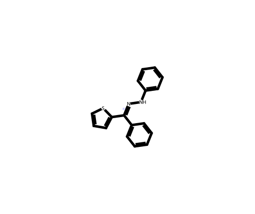 c1ccc(N/N=C(\c2ccccc2)c2cccs2)cc1